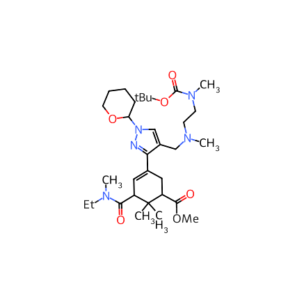 CCN(C)C(=O)C1C=C(c2nn(C3CCCCO3)cc2CN(C)CCN(C)C(=O)OC(C)(C)C)CC(C(=O)OC)C1(C)C